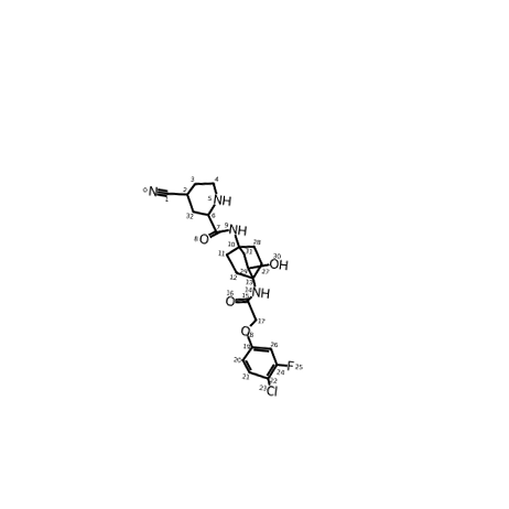 N#CC1CCNC(C(=O)NC23CCC(NC(=O)COc4ccc(Cl)c(F)c4)(CC2)C(O)C3)C1